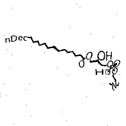 CCCCCCCCCCCCCCCCCCCCCCCC(=O)OC[C@@H](O)COP(=O)(O)OCC[N+](C)(C)C